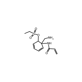 C=CC(=O)NC1(CN)C=CC=CC1OS(=O)(=O)CC